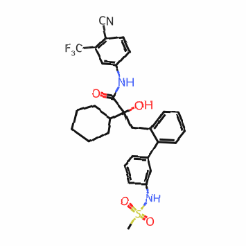 CS(=O)(=O)Nc1cccc(-c2ccccc2CC(O)(C(=O)Nc2ccc(C#N)c(C(F)(F)F)c2)C2CCCCC2)c1